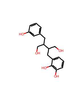 OCC(Cc1cccc(O)c1)C(CO)Cc1cccc(O)c1O